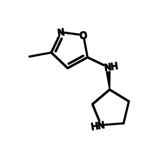 Cc1cc(N[C@H]2CCNC2)on1